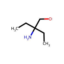 CCC(N)(CC)C[O]